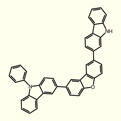 c1ccc(-n2c3ccccc3c3cc(-c4ccc5oc6ccc(-c7ccc8c(c7)[nH]c7ccccc78)cc6c5c4)ccc32)cc1